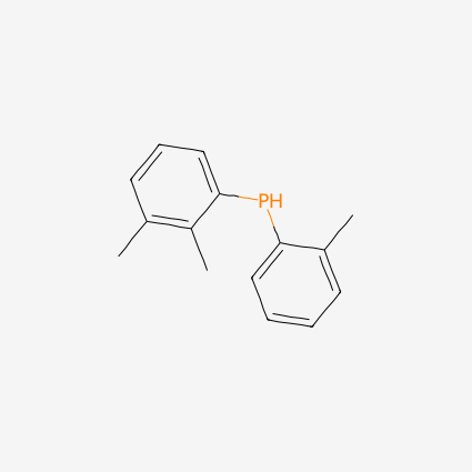 Cc1ccccc1Pc1cccc(C)c1C